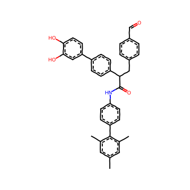 Cc1cc(C)c(-c2ccc(NC(=O)C(Cc3ccc(C=O)cc3)c3ccc(-c4ccc(O)c(O)c4)cc3)cc2)c(C)c1